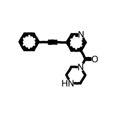 O=C(c1cncc(C#Cc2ccccc2)c1)N1CCNCC1